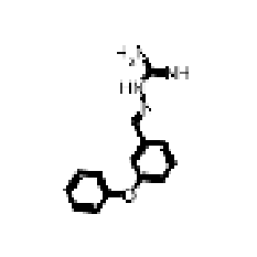 N=C(N)N/N=C/c1cccc(Oc2ccccc2)c1